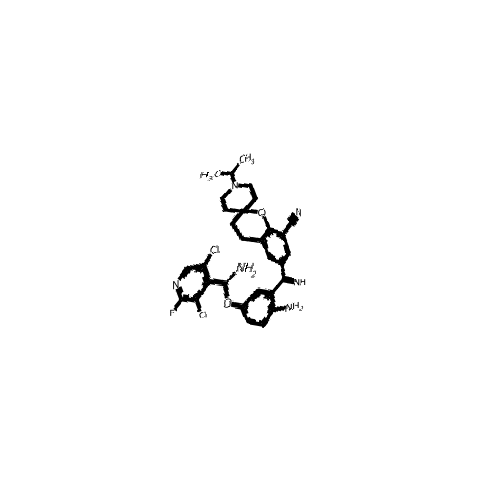 CC(C)N1CCC2(CCc3cc(C(=N)c4cc(O[C@H](N)c5c(Cl)cnc(F)c5Cl)ccc4N)cc(C#N)c3O2)CC1